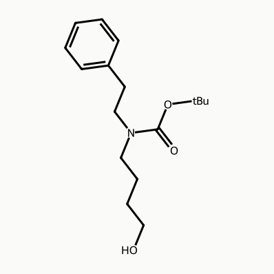 CC(C)(C)OC(=O)N(CCCCO)CCc1ccccc1